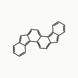 C1=c2ccccc2=c2c1ccc1c3c(ccc21)C=c1ccccc1=3